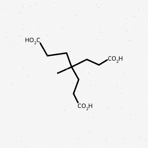 CC(CCC(=O)O)(CCC(=O)O)CCC(=O)O